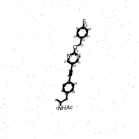 CC(=O)NC(C)Cc1ccc(C#Cc2cnc(OCc3ccc(F)cc3)nc2)cc1